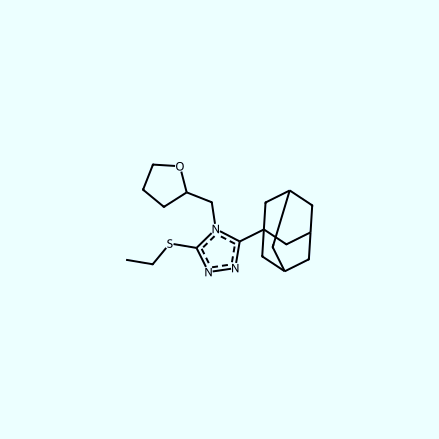 CCSc1nnc(C23CC4CC(CC(C4)C2)C3)n1CC1CCCO1